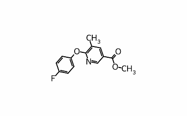 COC(=O)c1cnc(Oc2ccc(F)cc2)c(C)c1